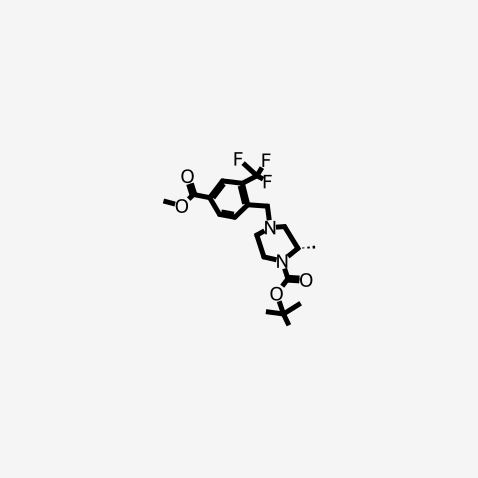 COC(=O)c1ccc(CN2CCN(C(=O)OC(C)(C)C)[C@@H](C)C2)c(C(F)(F)F)c1